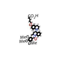 COc1cc(C(=O)N2c3ccccc3C(N3CCCc4cc(OCCCCC(=O)O)ccc43)CC2C)cc(OC)c1OC